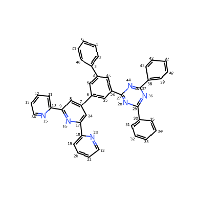 c1ccc(-c2cc(-c3cc(-c4ccccn4)nc(-c4ccccn4)c3)cc(-c3nc(-c4ccccc4)nc(-c4ccccc4)n3)c2)cc1